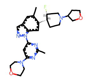 Cc1nc(N2CCOCC2)cc(-n2ncc3cc(C)c([C@H]4CCN(C5CCOC5)C[C@H]4F)cc32)n1